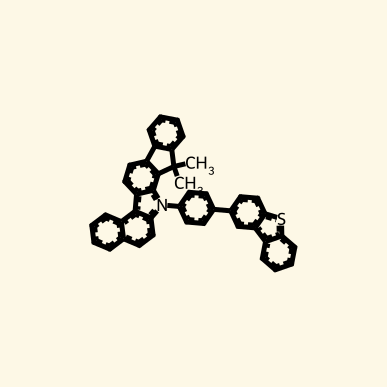 CC1(C)c2ccccc2-c2ccc3c4c5ccccc5ccc4n(-c4ccc(-c5ccc6sc7ccccc7c6c5)cc4)c3c21